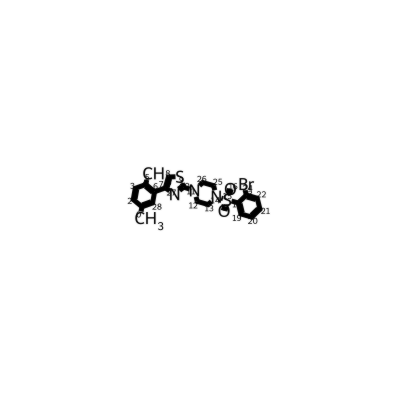 Cc1ccc(C)c(-c2csc(N3CCN(S(=O)(=O)c4ccccc4Br)CC3)n2)c1